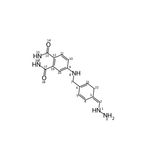 NNC=C1C=CC(CNc2ccc3c(=O)[nH][nH]c(=O)c3c2)=CC1